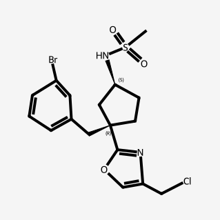 CS(=O)(=O)N[C@H]1CC[C@](Cc2cccc(Br)c2)(c2nc(CCl)co2)C1